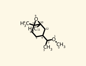 COC(C)C1CCC2(C)OC2(C)C1